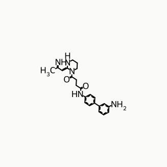 CC(=N)/C=C1\NCCCN1C(=O)CCC(=O)Nc1ccc(-c2cccc(N)c2)cc1